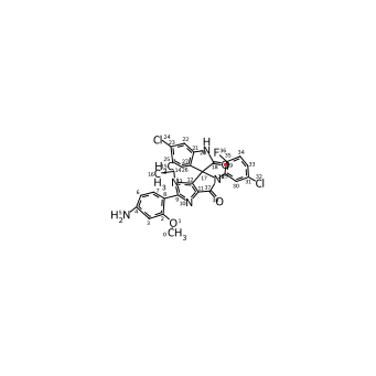 COc1cc(N)ccc1-c1nc2c(n1C(C)C)C1(C(=O)Nc3cc(Cl)ccc31)N(c1cc(Cl)ccc1F)C2=O